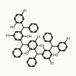 CCc1ccc(O)c(C(c2ccccc2)c2cc(CC)cc(C(c3ccccc3)c3cc(CC)cc(C(c4ccccc4)c4cc(CC)cc(C(c5ccccc5)c5cc(CC)ccc5O)c4O)c3O)c2O)c1